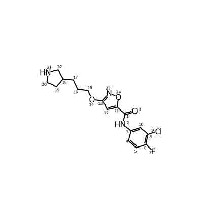 O=C(Nc1ccc(F)c(Cl)c1)c1cc(OCCCC2CCNC2)no1